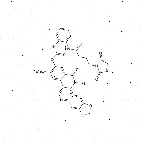 CCn1c(=O)c2cc(OC(=O)N(C)c3ccccc3NC(=O)CCCN3C(=O)C=CC3=O)c(OC)cc2c2cnc3cc4c(cc3c21)OCO4